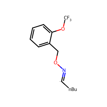 CCCC/[C]=N/OCc1ccccc1OC(F)(F)F